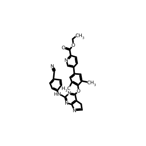 CCOC(=O)c1ccc(-c2cc(C)c(Oc3nc(Nc4ccc(C#N)cc4)nc4c3CC=N4)c(C)c2)cn1